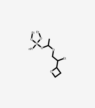 CCC[Si](OCC)(OCC)OC(C)OCC(CC)C1CCO1